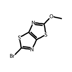 COc1nc2sc(Br)nc2s1